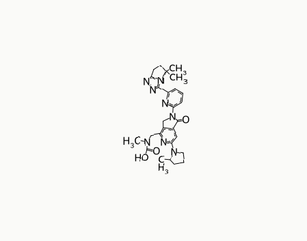 CC1CCCN1c1cc2c(c(CN(C)C(=O)O)n1)CN(c1cccc(-c3nnc4n3C(C)(C)CC4)n1)C2=O